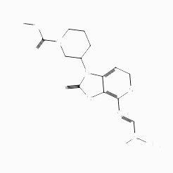 CN(C)/C=N/C1=c2[nH]c(=O)n(C3CCCN(C(=O)OC(C)(C)C)C3)c2=CCN1